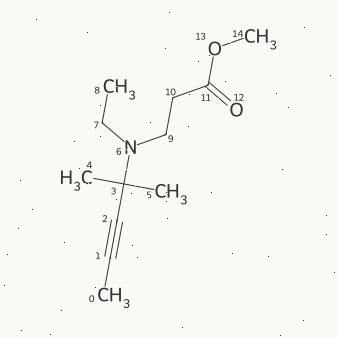 CC#CC(C)(C)N(CC)CCC(=O)OC